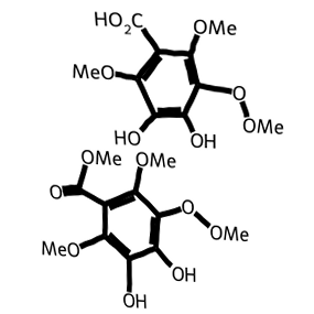 COOc1c(O)c(O)c(OC)c(C(=O)O)c1OC.COOc1c(O)c(O)c(OC)c(C(=O)OC)c1OC